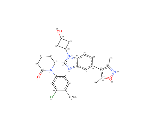 COc1ccc(N2C(=O)CCCC2c2nc3cc(-c4c(C)noc4C)ccc3n2C2CC(O)C2)cc1Cl